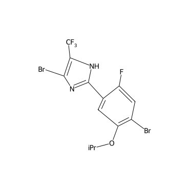 CC(C)Oc1cc(-c2nc(Br)c(C(F)(F)F)[nH]2)c(F)cc1Br